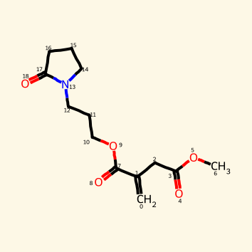 C=C(CC(=O)OC)C(=O)OCCCN1CCCC1=O